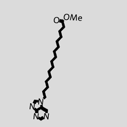 COC(=O)CCCCCCCCCCCCCCCn1cnc2ncncc21